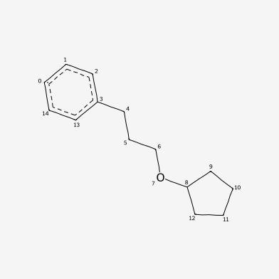 [c]1ccc(CCCOC2CCCC2)cc1